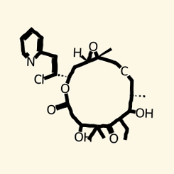 CCC1C(=O)C(C)(C)C(O)CC(=O)O[C@H](C(Cl)=Cc2ccccn2)C[C@@H]2O[C@]2(C)CCC[C@H](C)C1O